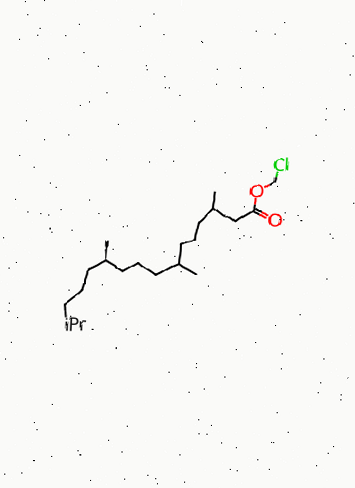 CC(C)CCC[C@@H](C)CCCC(C)CCCC(C)CC(=O)OCCl